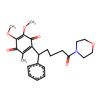 COC1=C(OC)C(=O)C(C(CCCC(=O)N2CCOCC2)c2ccccc2)=C(C)C1=O